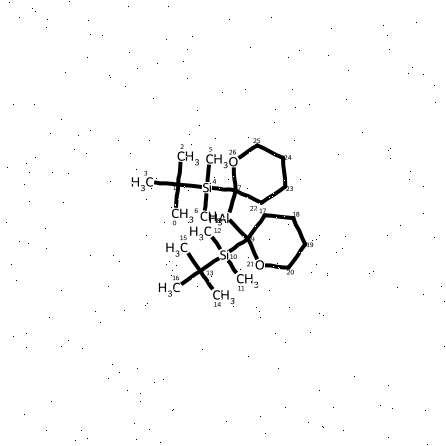 CC(C)(C)[Si](C)(C)[C]1([AlH][C]2([Si](C)(C)C(C)(C)C)CCCCO2)CCCCO1